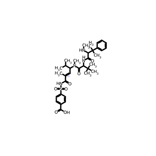 CNC(C(=O)NC(C(=O)N(C)C(/C=C(\C)C(=O)NS(=O)(=O)c1ccc(C(=O)O)cc1)C(C)C)C(C)(C)C)C(C)(C)c1ccccc1